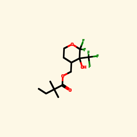 CCC(C)(C)C(=O)OCC1CCOC(F)(F)C1(O)C(F)(F)F